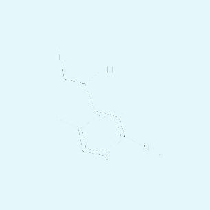 C[C](CF)c1cc([N+](=O)[O-])ccc1C(C)C